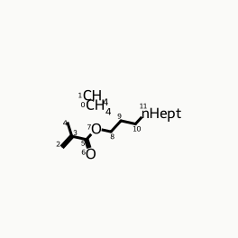 C.C.C=C(C)C(=O)OCCCCCCCCCC